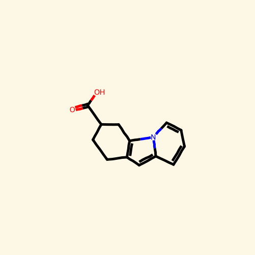 O=C(O)C1CCc2cc3ccccn3c2C1